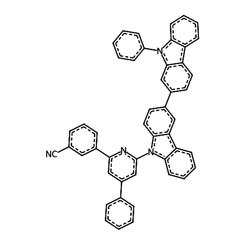 N#Cc1cccc(-c2cc(-c3ccccc3)cc(-n3c4ccccc4c4cc(-c5ccc6c7ccccc7n(-c7ccccc7)c6c5)ccc43)n2)c1